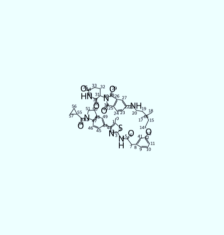 Cc1sc(NC(=O)Cc2cccc(OCCC(C)(C)CCNc3ccc4c(c3)C(=O)N(C3CCC(=O)NC3=O)C4=O)c2)nc1-c1ccc2c(c1)CCN2C(=O)C1CC1